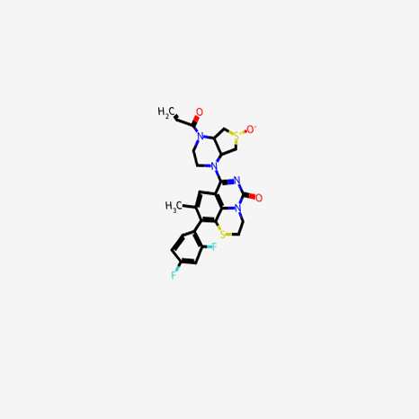 C=CC(=O)N1CCN(c2nc(=O)n3c4c(c(-c5ccc(F)cc5F)c(C)cc24)SCC3)C2C[S+]([O-])CC21